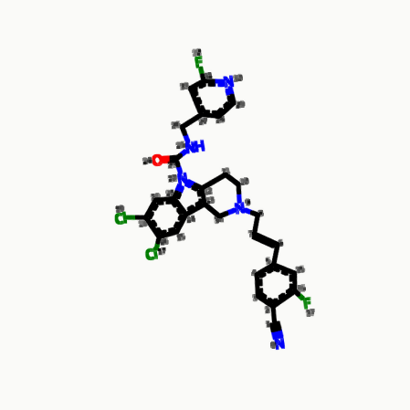 N#Cc1ccc(C=CCN2CCc3c(c4cc(Cl)c(Cl)cc4n3C(=O)NCc3ccnc(F)c3)C2)cc1F